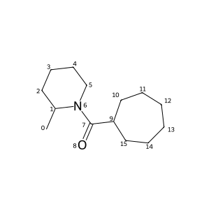 CC1CCCCN1C(=O)C1CCCCCC1